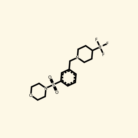 O=S(=O)(c1cccc(CN2CCC([B-](F)(F)F)CC2)c1)N1CCOCC1